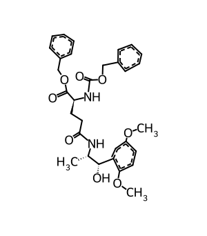 COc1ccc(OC)c([C@H](O)[C@H](C)NC(=O)CC[C@H](NC(=O)OCc2ccccc2)C(=O)OCc2ccccc2)c1